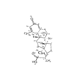 CC(C(=O)O)=C1CC[C@H]2[C@@H]3CCC4=CC(=O)C=C(Cl)[C@]4(C)[C@H]3CC[C@]12C